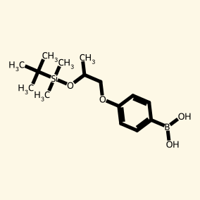 CC(COc1ccc(B(O)O)cc1)O[Si](C)(C)C(C)(C)C